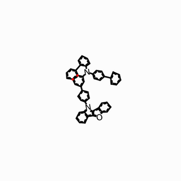 c1ccc(-c2ccc(N(c3cccc(-c4ccc(-n5c6ccccc6c6oc7ccccc7c65)cc4)c3)c3ccccc3-c3ccccc3)cc2)cc1